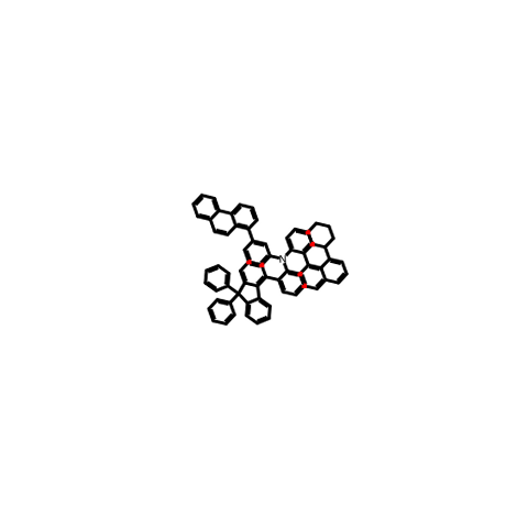 c1ccc(C2(c3ccccc3)c3ccccc3-c3c(-c4ccccc4N(c4cccc(-c5cccc6c5ccc5ccccc56)c4)c4ccccc4-c4cccc5cccc(C6CCCCC6)c45)cccc32)cc1